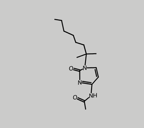 CCCCCCC(C)(C)n1ccc(NC(C)=O)nc1=O